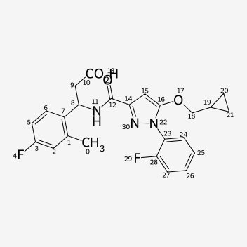 Cc1cc(F)ccc1C(CC(=O)O)NC(=O)c1cc(OCC2CC2)n(-c2ccccc2F)n1